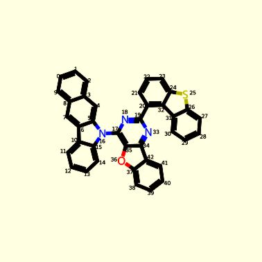 c1ccc2cc3c(cc2c1)c1ccccc1n3-c1nc(-c2cccc3sc4ccccc4c23)nc2c1oc1ccccc12